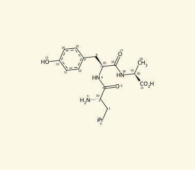 CC(C)C[C@H](N)C(=O)N[C@@H](Cc1ccc(O)cc1)C(=O)N[C@@H](C)C(=O)O